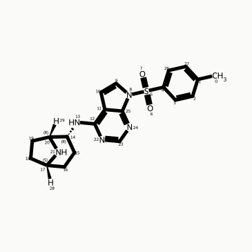 Cc1ccc(S(=O)(=O)n2ccc3c(N[C@@H]4CC[C@@H]5CC[C@H]4N5)ncnc32)cc1